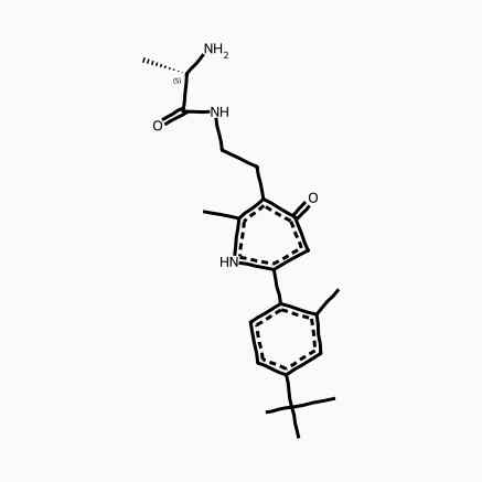 Cc1cc(C(C)(C)C)ccc1-c1cc(=O)c(CCNC(=O)[C@H](C)N)c(C)[nH]1